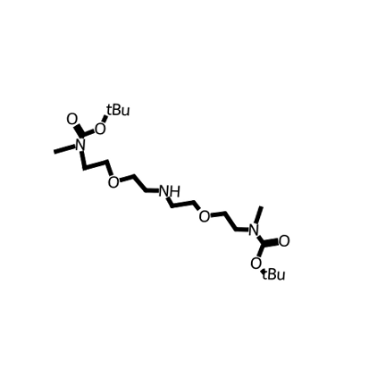 CN(CCOCCNCCOCCN(C)C(=O)OC(C)(C)C)C(=O)OC(C)(C)C